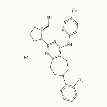 Cl.OC[C@@H]1CCCN1c1nc2c(c(Nc3ccc(C(F)(F)F)cn3)n1)CCN(c1ncccc1C(F)(F)F)CC2